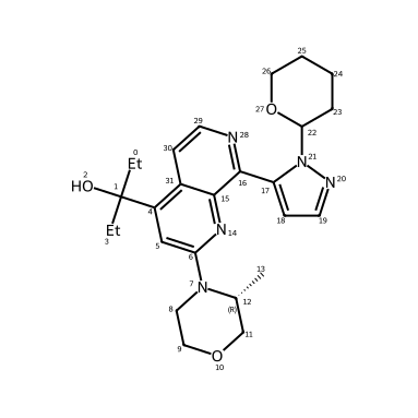 CCC(O)(CC)c1cc(N2CCOC[C@H]2C)nc2c(-c3ccnn3C3CCCCO3)nccc12